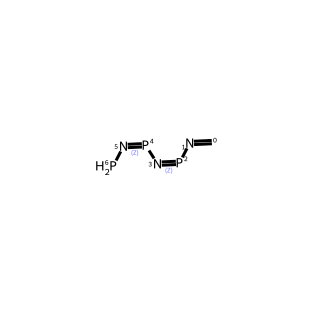 C=N/P=N\P=N/P